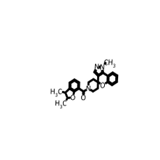 CC1Oc2c(C(=O)N3CCC4(CC3)Oc3ccccc3-c3c4cnn3C)cccc2C1C